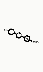 CCCCCCCC12CCC([C@H]3CC[C@H]([C@H]4CC[C@H](CC)CC4)CC3)(CC1)CC2